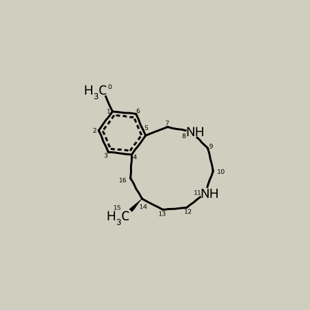 Cc1ccc2c(c1)CNCCNCC[C@@H](C)C2